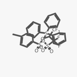 Cc1ccc(S(=O)(=O)OC(C(F)(F)F)C(F)(F)S(=O)(=O)OS(c2ccccc2)(c2ccccc2)c2ccccc2)cc1